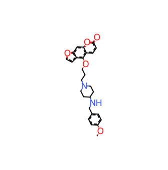 COc1ccc(CNC2CCN(CCCOc3c4ccoc4cc4oc(=O)ccc34)CC2)cc1